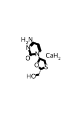 Nc1ccn([C@@H]2CS[C@H](CO)O2)c(=O)n1.[CaH2]